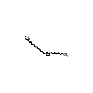 CCCCCCCCCCCCCCn1cc[n+](CCCCCCCC)c1